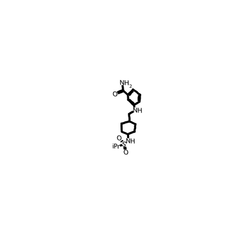 CC(C)S(=O)(=O)NC1CCC(CNc2cccc(C(N)=O)c2)CC1